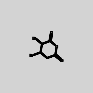 O=C1CC(Br)C(Br)C(=O)O1